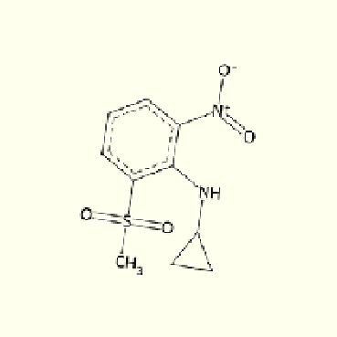 CS(=O)(=O)c1cccc([N+](=O)[O-])c1NC1CC1